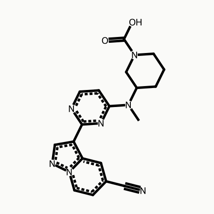 CN(c1ccnc(-c2cnn3ccc(C#N)cc23)n1)C1CCCN(C(=O)O)C1